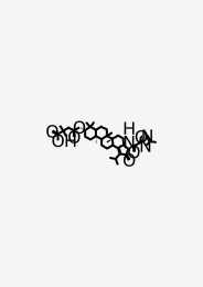 Cc1noc(C(=O)N[C@@]23CC[C@]4(C)C(CCC5C4(C)CCC4C(C)(C)[C@@H](OC(=O)CC(C)(C)C(=O)O)CC[C@@]45C)C2=C(C(C)C)C(=O)C3)n1